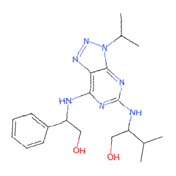 CC(C)C(CO)Nc1nc(NC(CO)c2ccccc2)c2nnn(C(C)C)c2n1